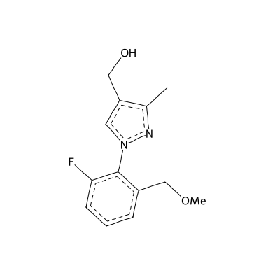 COCc1cccc(F)c1-n1cc(CO)c(C)n1